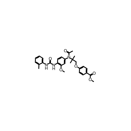 COC(=O)c1ccc(OCC(C)(C)N(C(C)=O)c2ccc(NC(=O)Nc3ccccc3C)c(OC)c2)cc1